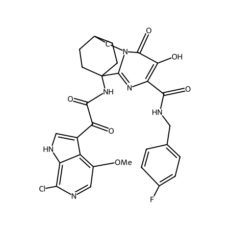 COc1cnc(Cl)c2[nH]cc(C(=O)C(=O)NC34CCC(CC3)Cn3c4nc(C(=O)NCc4ccc(F)cc4)c(O)c3=O)c12